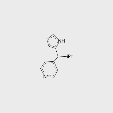 CC(C)C(c1ccncc1)c1ccc[nH]1